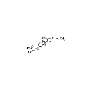 C=C(CCOc1ccc2nn(-c3ccc(OCCCC)cc3O)nc2c1)C(=O)O